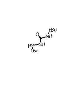 CC(C)(C)NC(=O)NPC(C)(C)C